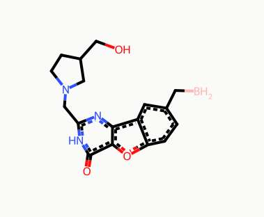 BCc1ccc2oc3c(=O)[nH]c(CN4CCC(CO)C4)nc3c2c1